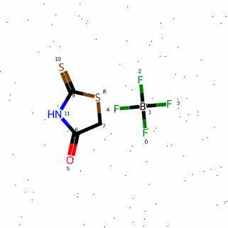 F[B-](F)(F)F.O=C1CSC(=S)N1